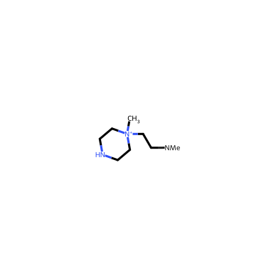 CNCC[N+]1(C)CCNCC1